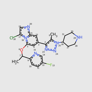 Cc1c(-c2cc(OC(C)c3ccc(F)cn3)n3c(Cl)cnc3c2)nnn1C1CCNCC1